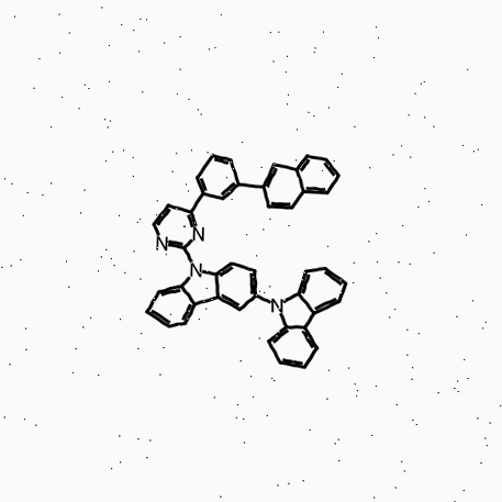 c1cc(-c2ccc3ccccc3c2)cc(-c2ccnc(-n3c4ccccc4c4cc(-n5c6ccccc6c6ccccc65)ccc43)n2)c1